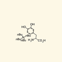 CCCC[N+](CCCC)(CCCC)CCCC.NC(Cc1ccc(O)c(O)c1)C(=O)O